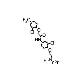 CCCN(CC)CCOc1ccc(NC(=O)COc2ccc(C(F)(F)F)cc2Cl)cc1Cl